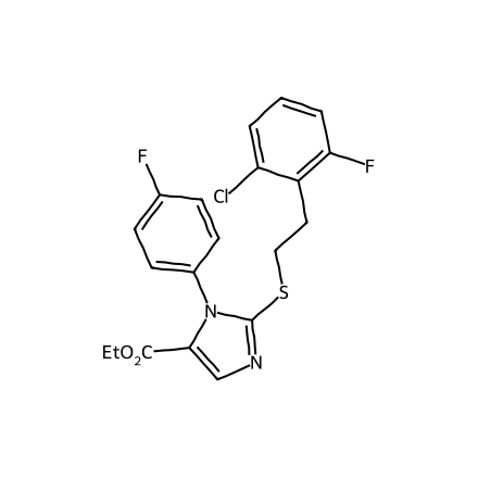 CCOC(=O)c1cnc(SCCc2c(F)cccc2Cl)n1-c1ccc(F)cc1